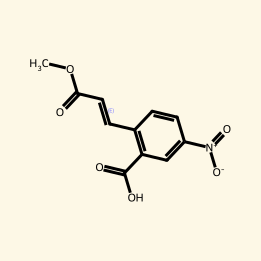 COC(=O)/C=C/c1ccc([N+](=O)[O-])cc1C(=O)O